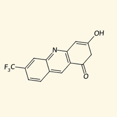 O=C1CC(O)=Cc2nc3cc(C(F)(F)F)ccc3cc21